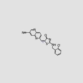 N#Cc1cnc2ccc(/C=C3/SC(NCc4ccccc4Cl)=NC3=O)nc2c1